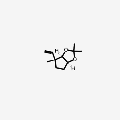 C=C[C@@]1(C)CC[C@@H]2OC(C)(C)O[C@@H]21